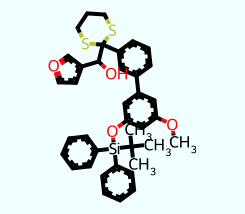 COc1cc(O[Si](c2ccccc2)(c2ccccc2)C(C)(C)C)cc(-c2cccc(C3(C(O)c4ccoc4)SCCCS3)c2)c1